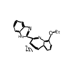 CCOc1cccc2ccc(-c3nc4ccccc4[nH]3)nc12.[Zn]